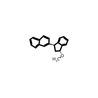 CO[C@@H]1C[C@@H](c2ccc3ccccc3c2)c2ccccc21